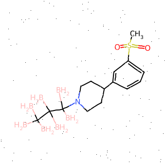 BC(B)(B)C(B)(B)C(B)(B)N1CCC(c2cccc(S(C)(=O)=O)c2)CC1